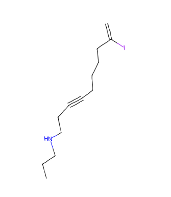 C=C(I)CCCCC#CCCNCCC